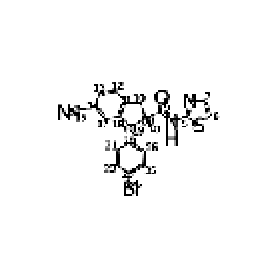 C[C@]1(C(=O)Nc2nccs2)Cc2ccc(C#N)cc2[C@H]1c1ccc(Br)cc1